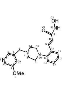 COc1cncc(CN2CCN(c3ccccc3C=CC(=O)NO)CC2)c1